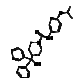 CC(C)Oc1ccc(NC(=O)N2CCC(C(O)(c3ccccc3)c3ccccc3)CC2)cc1